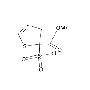 COC(=O)C1(S(=O)(=O)Cl)CC=CS1